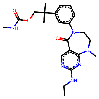 CCNc1ncc2c(n1)N(C)CCN(c1cccc(C(C)(C)COC(=O)NC)c1)C2=O